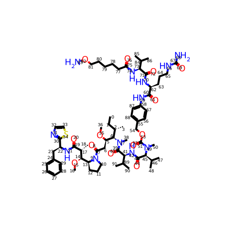 CC[C@H](C)[C@@H]([C@@H](CC(=O)N1CCC[C@H]1[C@H](OC)[C@@H](C)C(=O)N[C@@H](Cc1ccccc1)c1nccs1)OC)N(C)C(=O)[C@@H](NC(=O)[C@H](C(C)C)N(C)C(=O)OCc1ccc(NC(=O)[C@H](CCCNC(N)=O)NC(=O)[C@@H](NC(=O)CCCCCON)C(C)C)cc1)C(C)C